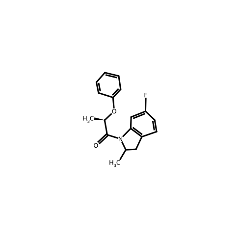 CC1Cc2ccc(F)cc2N1C(=O)[C@@H](C)Oc1ccccc1